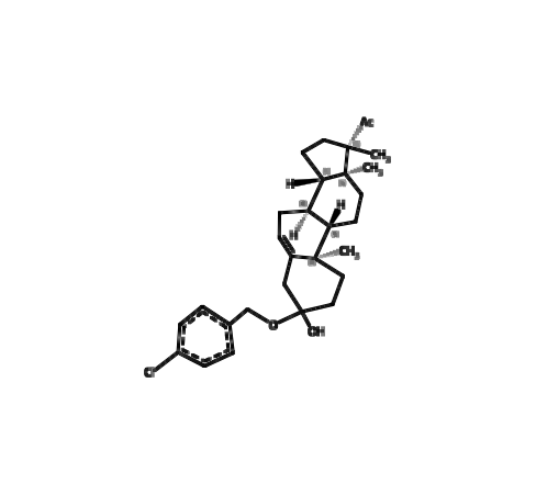 CC(=O)[C@@]1(C)CC[C@H]2[C@@H]3CC=C4CC(O)(OCc5ccc(Cl)cc5)CC[C@]4(C)[C@H]3CC[C@@]21C